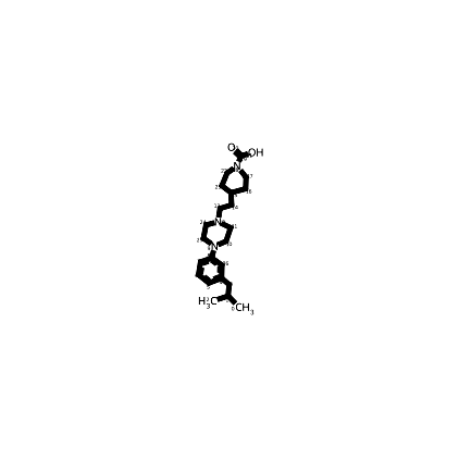 CC(C)Cc1cccc(N2CCN(CCC3CCN(C(=O)O)CC3)CC2)c1